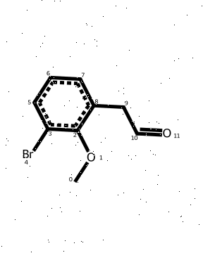 COc1c(Br)cccc1CC=O